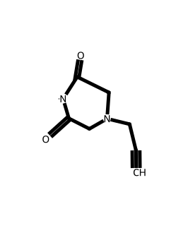 C#CCN1CC(=O)[N]C(=O)C1